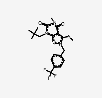 CSc1c2c(=O)n(C)c(=O)n(CC(C)(C)C)c2nn1Cc1ccc(C(F)(F)F)cc1